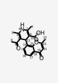 CC(=O)C1=C(C)NC(C)=C(C(=O)O)C1c1cccc2c(=O)cc(C)oc12